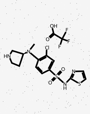 CN(c1ccc(S(=O)(=O)Nc2nccs2)cc1Cl)[C@H]1CCNC1.O=C(O)C(F)(F)F